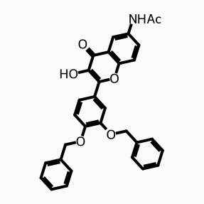 CC(=O)Nc1ccc2oc(-c3ccc(OCc4ccccc4)c(OCc4ccccc4)c3)c(O)c(=O)c2c1